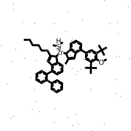 CCCCCCC1=Cc2c(-c3ccccc3-c3ccccc3)cccc2[CH]1[Zr]([CH]1C(C)=Cc2c(-c3cc(C(C)(C)C)c(OC)c(C(C)(C)C)c3)cccc21)[SiH](C)C